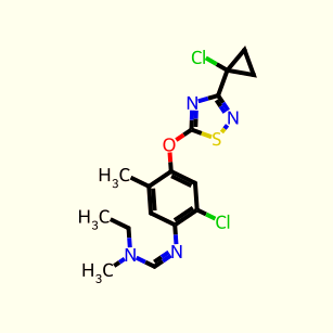 CCN(C)/C=N\c1cc(C)c(Oc2nc(C3(Cl)CC3)ns2)cc1Cl